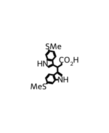 CSc1ccc2c(C(CC(=O)O)c3c[nH]c4cc(SC)ccc34)c[nH]c2c1